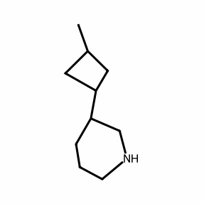 CC1CC(C2CCCNC2)C1